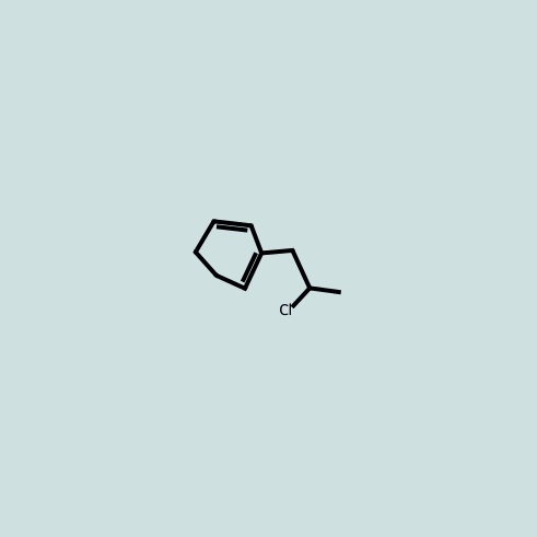 CC(Cl)CC1=CCCC=C1